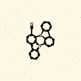 N#Cc1ccc2c3ccccc3n3c2c1B1c2ccccc2-c2cccc-3c21